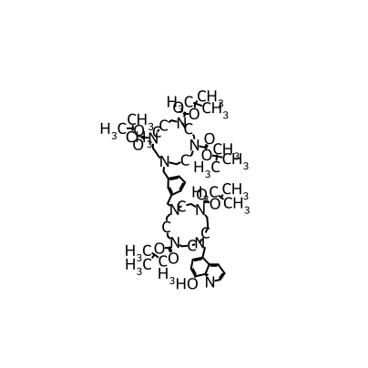 CC(C)(C)OC(=O)N1CCCN(Cc2ccc(O)c3ncccc23)CCN(C(=O)OC(C)(C)C)CCCN(Cc2cccc(CN3CCCN(C(=O)OC(C)(C)C)CCN(C(=O)OC(C)(C)C)CCCN(C(=O)OC(C)(C)C)CC3)c2)CC1